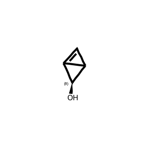 O[C@H]1C2=CC21